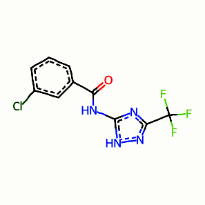 O=C(Nc1nc(C(F)(F)F)n[nH]1)c1cccc(Cl)c1